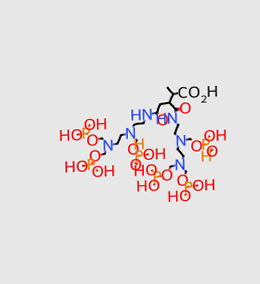 CC(C(=O)O)C(CC(=O)NCCN(CCN(COP(O)O)COP(O)O)CO[PH](=O)O)C(=O)NCCN(CCN(COP(O)O)COP(O)O)CO[PH](=O)O